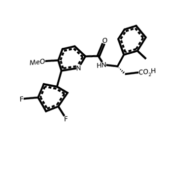 COc1ccc(C(=O)N[C@@H](CC(=O)O)c2ccccc2C)nc1-c1cc(F)cc(F)c1